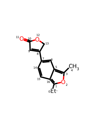 C[CH]c1oc(C)c2cc(C3=CC(=O)OC3)ccc12